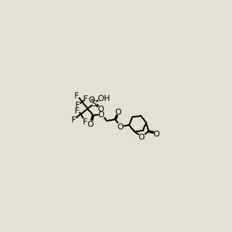 O=C(COC(=O)C(C(F)(F)F)(C(F)(F)F)S(=O)(=O)O)OC1CCC2CC1OC2=O